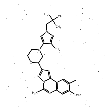 COc1cc2nc(N)n3nc(C4CN(c5cn(CC(C)(C)O)nc5C)CCO4)nc3c2cc1F